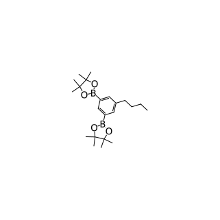 CCCCc1cc(B2OC(C)(C)C(C)(C)O2)cc(B2OC(C)(C)C(C)(C)O2)c1